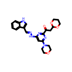 O=C(CC1OCCCO1)c1nc(NN=Cc2c[nH]c3ccccc23)cc(N2CCOCC2)n1